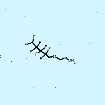 NCCOCC(F)(F)C(F)(F)C(F)(F)C(F)F